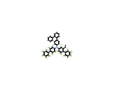 CCc1c(F)c(N(c2ccc(-c3ccccc3-c3ccccc3)cc2)c2c(F)c(F)c(-c3c(F)c(F)c(F)c(F)c3F)c(F)c2F)c(F)c(F)c1-c1c(F)c(F)c(F)c(F)c1F